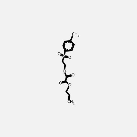 C=CCOC(=O)C(=O)OCCS(=O)(=O)c1ccc(C)cc1